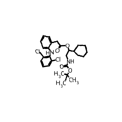 CC(C)(C)OC(=O)NCC(OC(=O)Cc1ccccc1Nc1c(Cl)cccc1Cl)C1CCCCC1